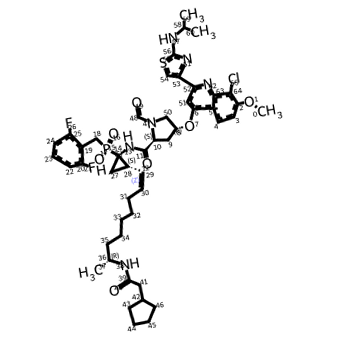 COc1ccc2c(O[C@@H]3C[C@@H](C(=O)N[C@]4(P(=O)(O)Cc5c(F)cccc5F)C[C@H]4/C=C\CCCCC[C@@H](C)NC(=O)CC4CCCC4)N(C=O)C3)cc(-c3csc(NC(C)C)n3)nc2c1Cl